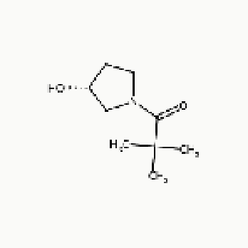 CC(C)(C)C(=O)N1CC[C@@H](O)C1